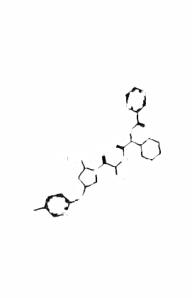 CC(C)(C)C(NC(=O)C(NC(=O)c1cnccn1)C1CCCCC1)C(=O)N1CC(Oc2ccc(Cl)cn2)CC1C(=O)O